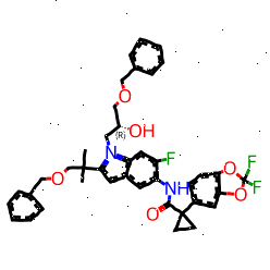 CC(C)(COCc1ccccc1)c1cc2cc(NC(=O)C3(c4ccc5c(c4)OC(F)(F)O5)CC3)c(F)cc2n1C[C@@H](O)COCc1ccccc1